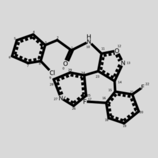 O=C(Cc1ccccc1Cl)Nc1onc(-c2c(F)cccc2F)c1-c1ccncc1